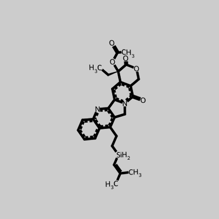 CC[C@@]1(OC(C)=O)C(=O)OCc2c1cc1n(c2=O)Cc2c-1nc1ccccc1c2CC[SiH2]C=C(C)C